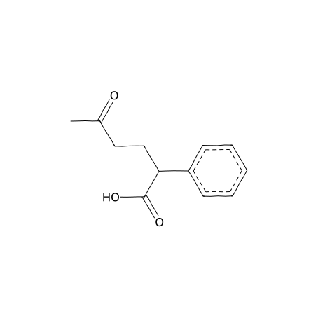 CC(=O)CCC(C(=O)O)c1ccccc1